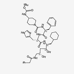 CC(C)CC(=O)NC[C@@H](O)C[C@H](O)[C@H](CC1CCCCC1)NC(=O)[C@H](Cc1c[nH]cn1)NC(=O)[C@H](Cc1ccccc1)NC(=O)N1CCC(NC(=O)OC(C)(C)C)CC1